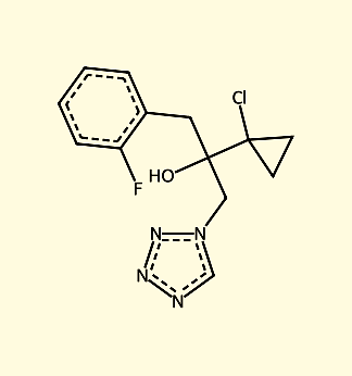 OC(Cc1ccccc1F)(Cn1cnnn1)C1(Cl)CC1